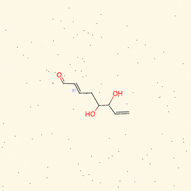 C=CC(O)C(O)C/C=C/C=O